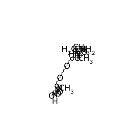 C[C@@H](OCc1ccc(CCCOCCCCCCCOCCCc2ccc3c(c2)n(C)c(=O)n3C2CCC(=O)NC2=O)cc1)[C@H](CCC(N)=O)NC(=O)OC(C)(C)C